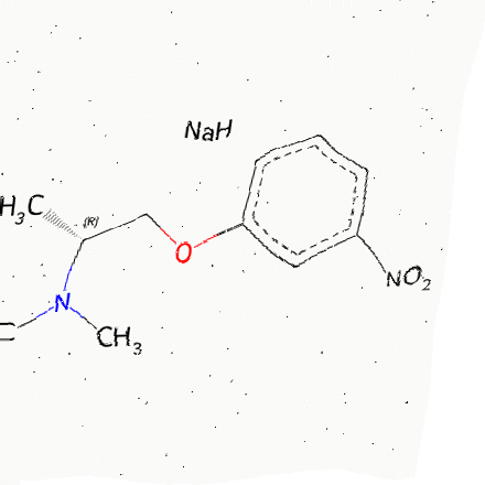 C[C@H](COc1cccc([N+](=O)[O-])c1)N(C)C.[NaH]